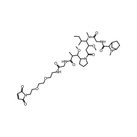 CCC(C)C(C(CC(=O)N1CCCC1C(OC)C(C)C(=O)NCC(=O)NCCOCCOCCN1C(=O)C=CC1=O)OC)N(C)C(=O)CNC(=O)C1C2CCC(C2)N1C